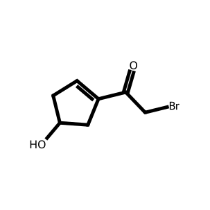 O=C(CBr)C1=CCC(O)C1